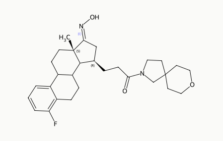 C[C@]12CCC3c4cccc(F)c4CCC3C1[C@H](CCC(=O)N1CCC3(CCOCC3)C1)C/C2=N\O